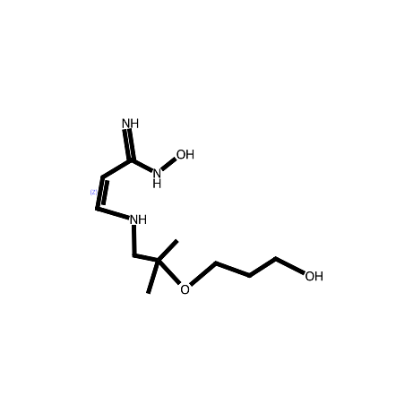 CC(C)(CN/C=C\C(=N)NO)OCCCO